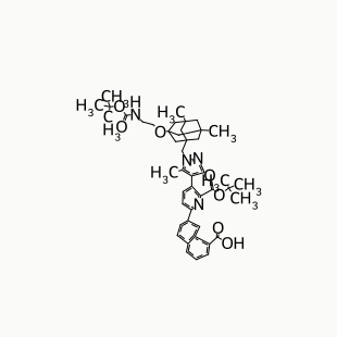 Cc1c(-c2ccc(-c3ccc4cccc(C(=O)O)c4c3)nc2C(=O)OC(C)(C)C)cnn1CC12CC3(C)CC(C)(C1)CC(OCCNC(=O)OC(C)(C)C)(C3)C2